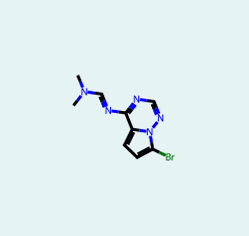 CN(C)/C=N/c1ncnn2c(Br)ccc12